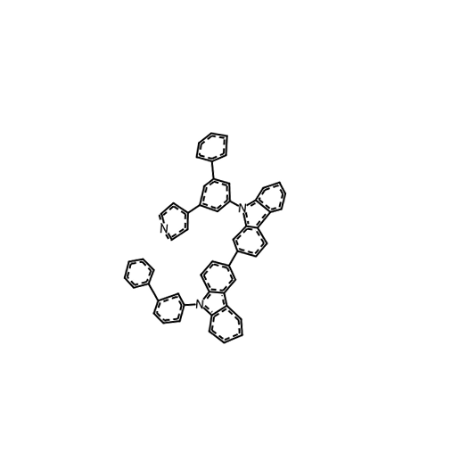 c1ccc(-c2cccc(-n3c4ccccc4c4cc(-c5ccc6c7ccccc7n(-c7cc(-c8ccccc8)cc(-c8ccncc8)c7)c6c5)ccc43)c2)cc1